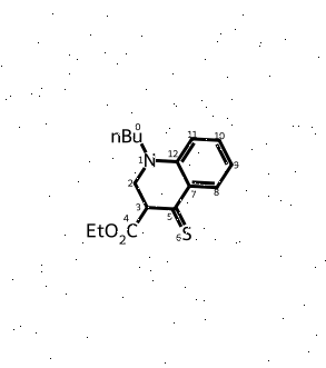 CCCCN1CC(C(=O)OCC)C(=S)c2ccccc21